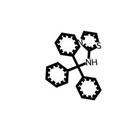 c1ccc(C(Nc2nccs2)(c2ccccc2)c2ccccc2)cc1